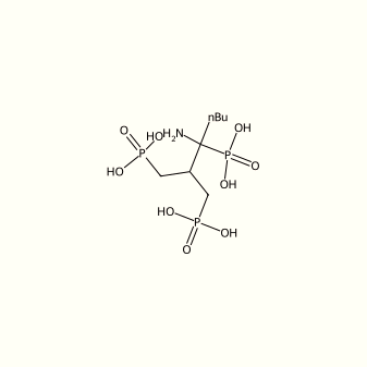 CCCCC(N)(C(CP(=O)(O)O)CP(=O)(O)O)P(=O)(O)O